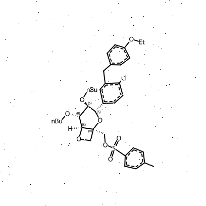 CCCCO[C@@H]1[C@@H](OCCCC)[C@@H]2OC[C@]2(COS(=O)(=O)c2ccc(C)cc2)O[C@H]1c1ccc(Cl)c(Cc2ccc(OCC)cc2)c1